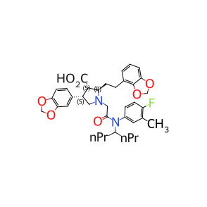 CCCC(CCC)N(C(=O)CN1C[C@H](c2ccc3c(c2)OCO3)[C@H](C(=O)O)[C@H]1CCc1cccc2c1OCO2)c1ccc(F)c(C)c1